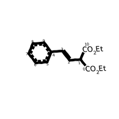 CCOC(=O)C(C=Cc1ccccc1)C(=O)OCC